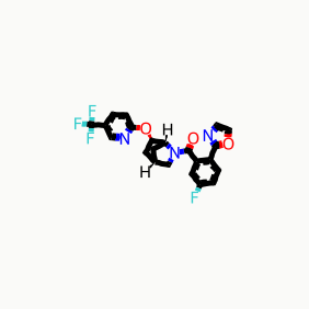 O=C(c1cc(F)ccc1-c1ncco1)N1C[C@H]2C[C@@H](Oc3ccc(C(F)(F)F)cn3)[C@@H]1C2